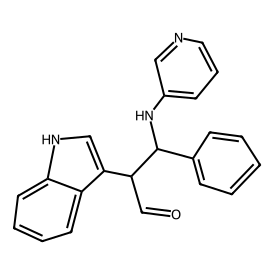 O=CC(c1c[nH]c2ccccc12)C(Nc1cccnc1)c1ccccc1